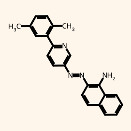 Cc1ccc(C)c(-c2ccc(N=Nc3ccc4ccccc4c3N)cn2)c1